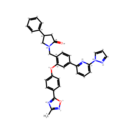 Cc1noc(-c2ccc(Oc3cc(-c4cccc(-n5cccn5)n4)ccc3CN3CC(c4ccccc4)CC3=O)cc2)n1